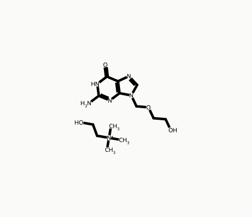 C[N+](C)(C)CCO.Nc1nc2c(ncn2COCCO)c(=O)[nH]1